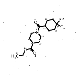 CCOC(=O)C1CCN(C(=O)C2CCC(F)(F)CC2)CC1